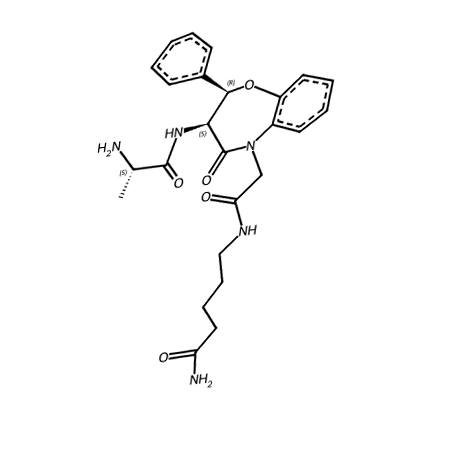 C[C@H](N)C(=O)N[C@@H]1C(=O)N(CC(=O)NCCCCC(N)=O)c2ccccc2O[C@@H]1c1ccccc1